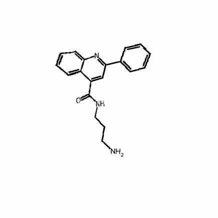 NCCCNC(=O)c1cc(-c2ccccc2)nc2ccccc12